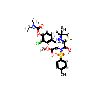 Cc1ccc(S(=O)(=O)N(C(=O)[C@H]2NC(C)(C)CS2)[C@@H](Cc2ccc(OC(=O)N(C)C)c(Cl)c2)C(=O)OC(C)C)cc1